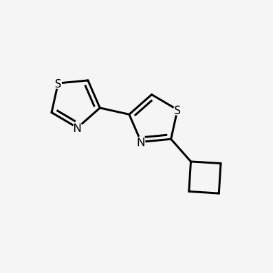 c1nc(-c2csc(C3CCC3)n2)cs1